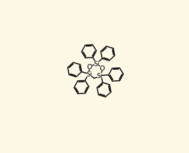 c1ccc([Si]2(c3ccccc3)C[Si](c3ccccc3)(c3ccccc3)O[Si](c3ccccc3)(c3ccccc3)O2)cc1